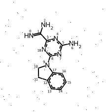 N=C(N)c1nc(N)nc(N2CCc3ccccc32)n1